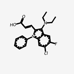 CCN(CC)c1c(/C=C/C(=O)O)n(-c2ccccc2)c2cc(Cl)c(F)cc12